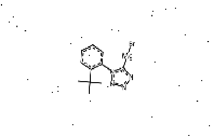 CC(C)(C)c1ccccc1-n1nnn[c]1[Mg][Br]